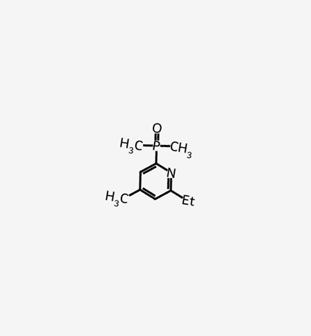 CCc1cc(C)cc(P(C)(C)=O)n1